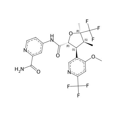 COc1cc(C(F)(F)F)ncc1[C@H]1[C@H](C(=O)Nc2ccnc(C(N)=O)c2)O[C@@](C)(C(F)(F)F)[C@H]1C